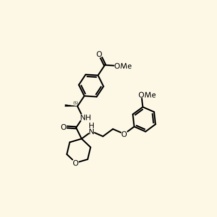 COC(=O)c1ccc([C@H](C)NC(=O)C2(NCCOc3cccc(OC)c3)CCOCC2)cc1